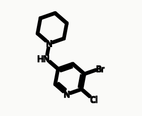 Clc1ncc(NN2CCCCC2)cc1Br